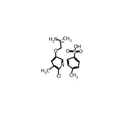 Cc1cc(OC[C@@H](C)N)cnc1Cl.Cc1ccc(S(=O)(=O)O)cc1